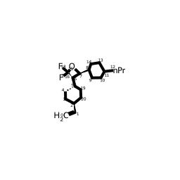 C=C[C@H]1CC[C@H]([C@H]2[C@H](C3CCC(CCC)CC3)OC2(F)F)CC1